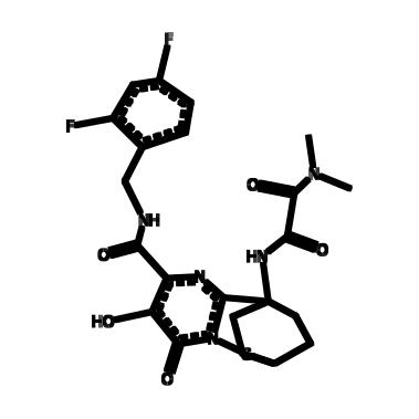 CN(C)C(=O)C(=O)NC12CCC(CC1)Cn1c2nc(C(=O)NCc2ccc(F)cc2F)c(O)c1=O